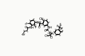 O=C(CCBr)Nc1c(F)ccc(NC(=O)c2cc(NC(=O)[C@H]3[C@H](c4ccc(F)c(C(F)(F)F)c4)C3(Cl)Cl)ccc2Cl)c1F